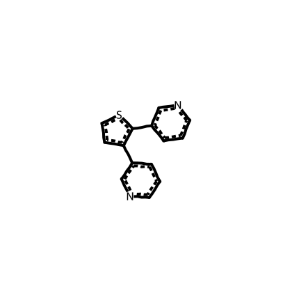 c1cncc(-c2ccsc2-c2cccnc2)c1